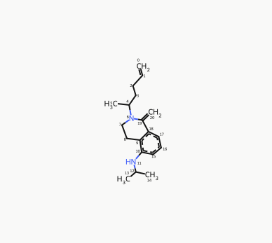 C=CCCC(C)N1CCc2c(NC(C)C)cccc2C1=C